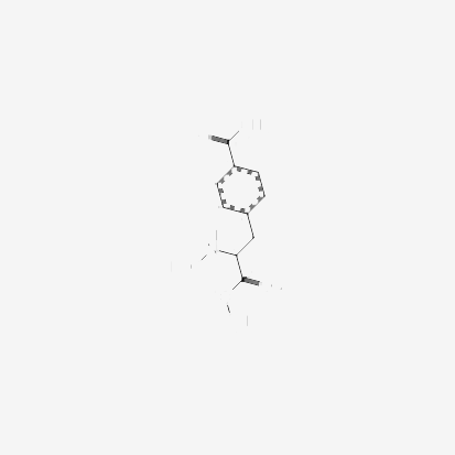 CNC(Cc1ccc(C(C)=O)cc1)C(=O)OC